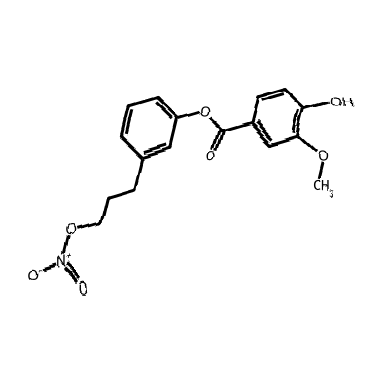 COc1cc(C(=O)Oc2cccc(CCCO[N+](=O)[O-])c2)ccc1O